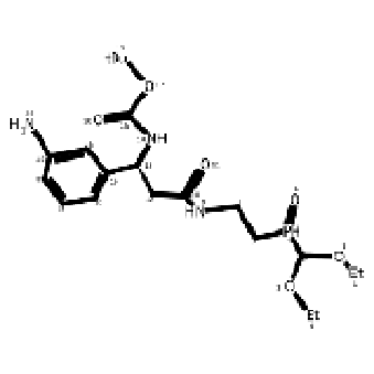 CCOC(OCC)[PH](=O)CCNC(=O)C[C@H](NC(=O)OC(C)(C)C)c1cccc(N)c1